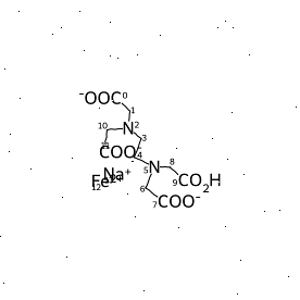 O=C([O-])CN(CCN(CC(=O)[O-])CC(=O)O)CC(=O)[O-].[Fe+2].[Na+]